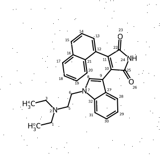 CCN(CC)CCn1cc(C2=C(c3cccc4ccccc34)C(=O)NC2=O)c2ccccc21